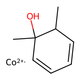 CC1C=CC=CC1(C)O.[Co+2]